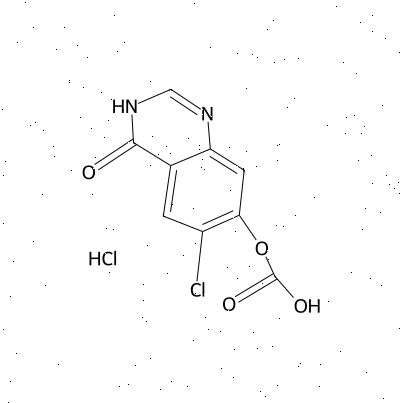 Cl.O=C(O)Oc1cc2nc[nH]c(=O)c2cc1Cl